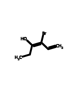 C=C/C(Br)=C(/O)CC